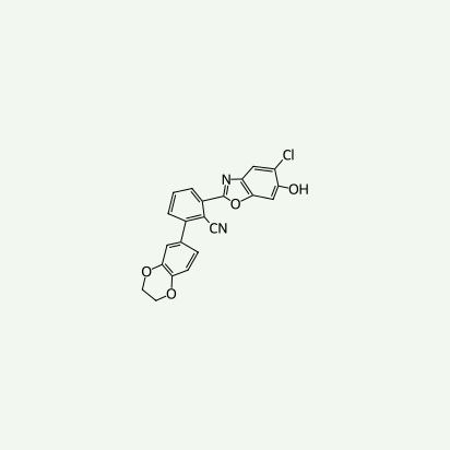 N#Cc1c(-c2ccc3c(c2)OCCO3)cccc1-c1nc2cc(Cl)c(O)cc2o1